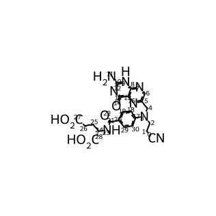 N#CCCN(Cc1cnc2[nH]c(N)nc(=O)c2n1)c1ccc(C(=O)N[C@@H](CCC(=O)O)C(=O)O)cc1